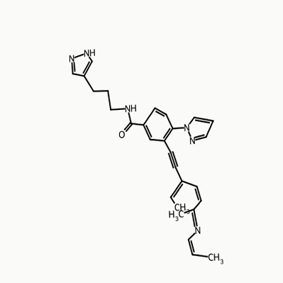 C\C=C/N=C(C)/C=C\C(C#Cc1cc(C(=O)NCCCc2cn[nH]c2)ccc1-n1cccn1)=C/C